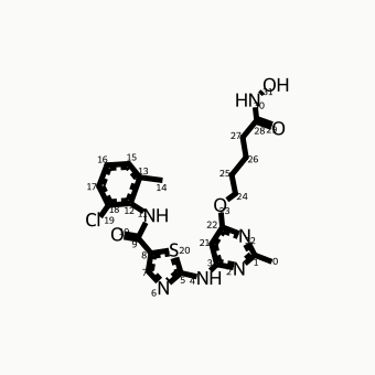 Cc1nc(Nc2ncc(C(=O)Nc3c(C)cccc3Cl)s2)cc(OCCCCC(=O)NO)n1